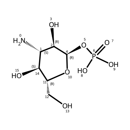 N[C@@H]1[C@@H](O)[C@@H](OP(=O)(O)O)O[C@H](CO)[C@H]1O